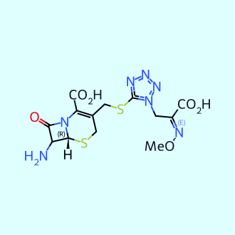 CO/N=C(\Cn1nnnc1SCC1=C(C(=O)O)N2C(=O)C(N)[C@H]2SC1)C(=O)O